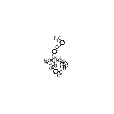 CC(C)CN(C[C@@H](O)[C@H](Cc1ccc(OCc2cccc(C(F)(F)F)c2)cc1)NC(=O)O[C@H]1CO[C@H]2OCC[C@H]21)S(=O)(=O)c1ccc2c(c1)OCO2